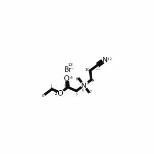 CCOC(=O)C[N+](C)(C)CCC#N.[Br-]